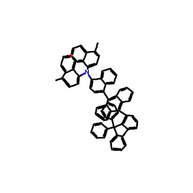 Cc1ccc(N(c2ccc(C)c3ccccc23)c2ccc(-c3c4ccccc4c(-c4cccc5c4C(c4ccccc4)(c4ccccc4)c4ccccc4-5)c4ccccc34)c3ccccc23)c2ccccc12